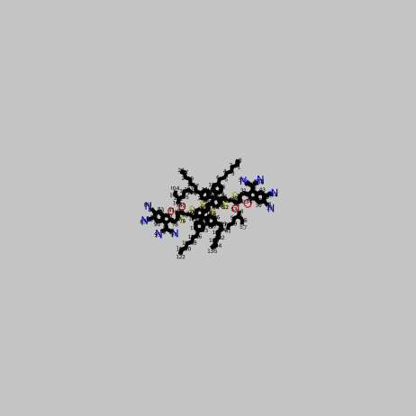 C=CCCCCCc1ccc(C2(c3ccc(CCCCCC=C)cc3)c3cc(-c4sc(/C=C5\C(=O)c6cc(C#N)c(C#N)cc6C5=C(C#N)C#N)cc4OCC(CC)CCCC)sc3-c3sc4c5c(sc4c32)-c2sc(-c3sc(/C=C4\C(=O)c6cc(C#N)c(C#N)cc6C4=C(C#N)C#N)cc3OCC(CC)CCCC)cc2C5(c2ccc(CCCCCC=C)cc2)c2ccc(CCCCCC=C)cc2)cc1